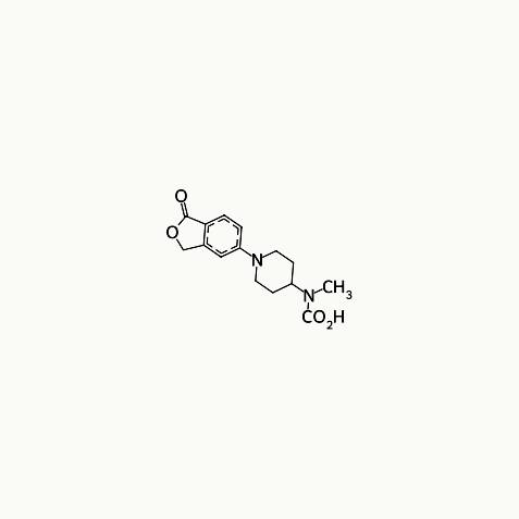 CN(C(=O)O)C1CCN(c2ccc3c(c2)COC3=O)CC1